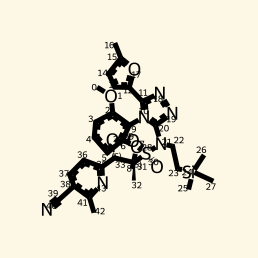 COc1cccc(OC)c1-n1c(-c2ccc(C)o2)nnc1N(CC[Si](C)(C)C)S(=O)(=O)[C@@H](C)[C@@H](O)c1ccc(C#N)c(C)n1